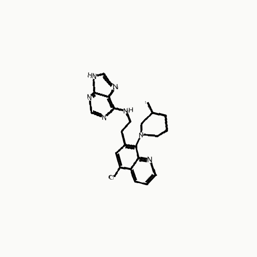 [CH]C1CCCN(c2c(CCNc3ncnc4[nH]cnc34)cc(Cl)c3cccnc23)C1